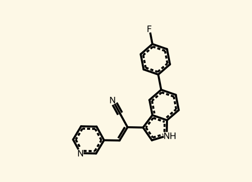 N#CC(=Cc1cccnc1)c1c[nH]c2ccc(-c3ccc(F)cc3)cc12